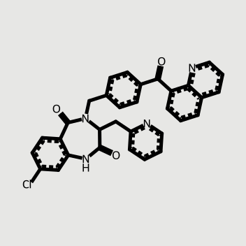 O=C(c1ccc(CN2C(=O)c3ccc(Cl)cc3NC(=O)C2Cc2ccccn2)cc1)c1cccc2cccnc12